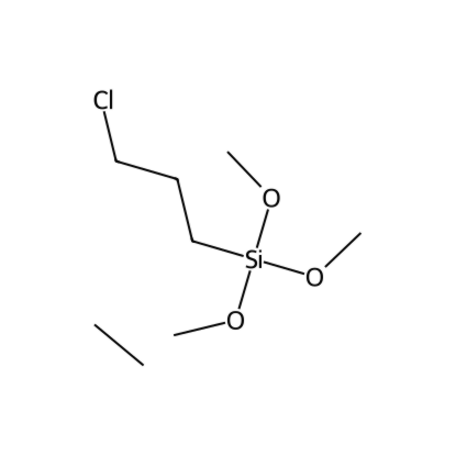 CC.CO[Si](CCCCl)(OC)OC